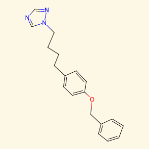 c1ccc(COc2ccc(CCCCn3cncn3)cc2)cc1